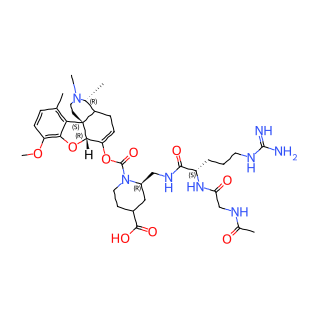 COc1ccc(C)c2c1O[C@H]1C(OC(=O)N3CCC(C(=O)O)C[C@@H]3CNC(=O)[C@H](CCCNC(=N)N)NC(=O)CNC(C)=O)=CCC3[C@@H](C)N(C)CC[C@@]231